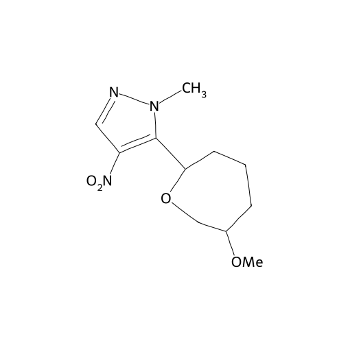 COC1CCCC(c2c([N+](=O)[O-])cnn2C)OC1